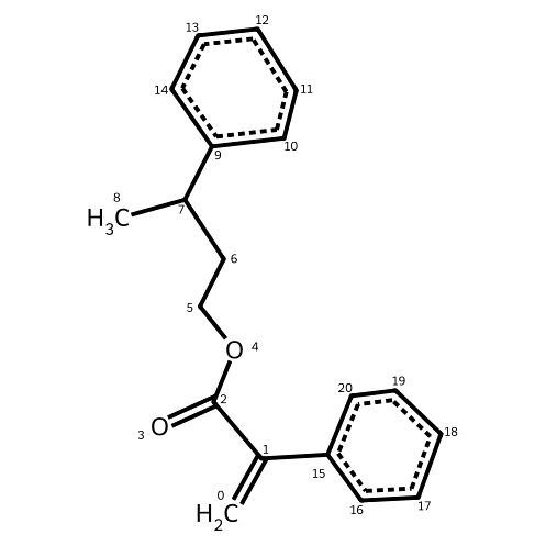 C=C(C(=O)OCCC(C)c1ccccc1)c1ccccc1